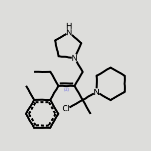 CC/C(=C(\CN1CCNC1)C(C)(Cl)N1CCCCC1)c1ccccc1C